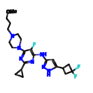 COCCCN1CCN(c2nc(C3CC3)nc(Nc3cc(C4CC(F)(F)C4)[nH]n3)c2F)CC1